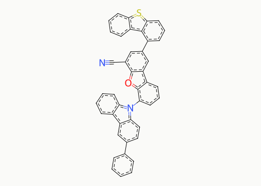 N#Cc1cc(-c2cccc3sc4ccccc4c23)cc2c1oc1c(-n3c4ccccc4c4cc(-c5ccccc5)ccc43)cccc12